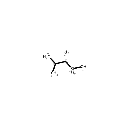 CC(C)C[SiH2]O.[KH]